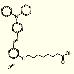 O=Cc1ccc(/C=C/c2ccc(N(c3ccccc3)c3ccccc3)cc2)cc1OCCCCCCCC(=O)O